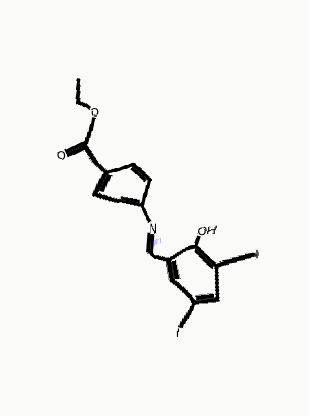 CCOC(=O)c1ccc(/N=C/c2cc(I)cc(I)c2O)cc1